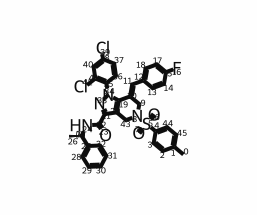 Cc1ccc(S(=O)(=O)N2CC(=Cc3ccc(F)cc3)c3c(c(C(=O)N[C@H](C)c4ccccc4)nn3-c3ccc(Cl)cc3Cl)C2)cc1